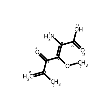 C=C(C)C(=O)C(OC)=C(N)C(=O)O